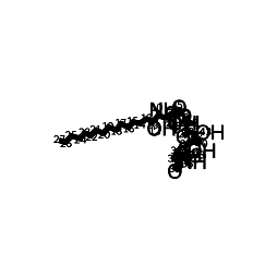 [2H]C([2H])(OP(=O)(O)OC[C@H](N)[C@H](O)CCCCCCCCCCCCCCC)[C@H]1O[C@@H](n2ccc(=O)[nH]c2=S)C(C)(O)[C@H]1O